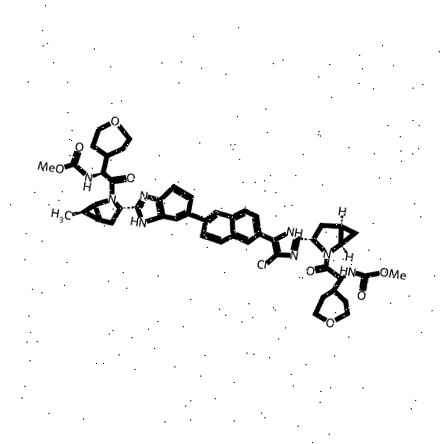 COC(=O)N[C@H](C(=O)N1C2C(C[C@H]1c1nc3ccc(-c4ccc5cc(-c6[nH]c([C@@H]7C[C@H]8C[C@H]8N7C(=O)[C@@H](NC(=O)OC)C7CCOCC7)nc6Cl)ccc5c4)cc3[nH]1)[C@H]2C)C1CCOCC1